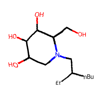 CCCCC(CC)CN1CC(O)C(O)C(O)C1CO